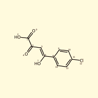 O=C(O)C(=O)C=C(O)c1ccc(Cl)cc1